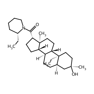 CC[C@@H]1CCCCN1C(=O)[C@H]1CC[C@H]2[C@@H]3CC[C@@H]4C[C@](C)(O)CC[C@]4(CC)[C@H]3CC[C@]12C